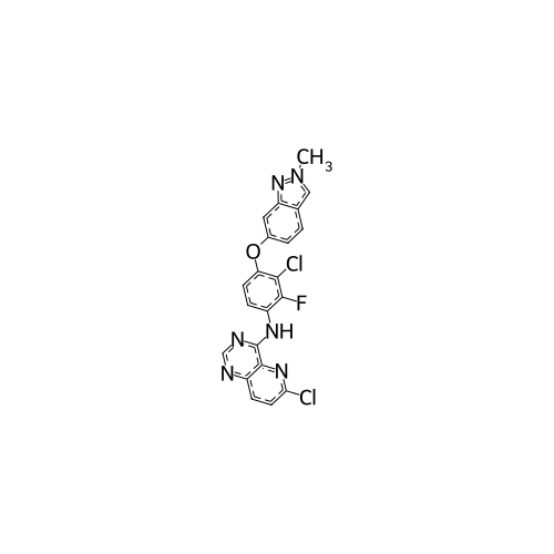 Cn1cc2ccc(Oc3ccc(Nc4ncnc5ccc(Cl)nc45)c(F)c3Cl)cc2n1